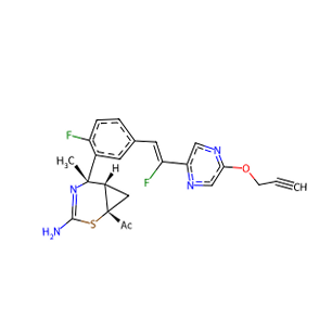 C#CCOc1cnc(C(F)=Cc2ccc(F)c([C@@]3(C)N=C(N)S[C@@]4(C(C)=O)C[C@H]43)c2)cn1